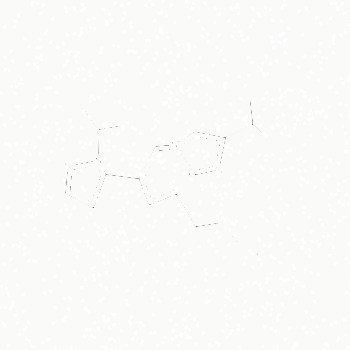 CO[C@H](C)c1cc(-c2ccnn2C(C)C)cn2cc(C(C)C)nc12